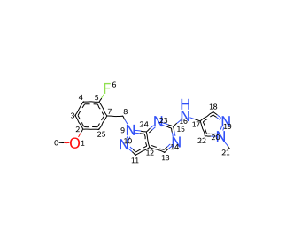 COc1ccc(F)c(Cn2ncc3cnc(Nc4cnn(C)c4)nc32)c1